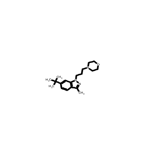 Cc1nn(CCCN2CCOCC2)c2cc(C(C)(C)C)ccc12